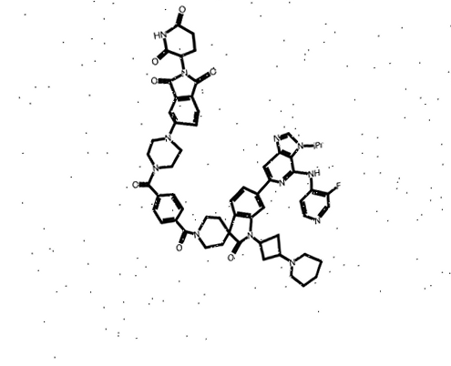 CC(C)n1cnc2cc(-c3ccc4c(c3)N(C3CC(N5CCCCC5)C3)C(=O)C43CCN(C(=O)c4ccc(C(=O)N5CCN(c6ccc7c(c6)C(=O)N(C6CCC(=O)NC6=O)C7=O)CC5)cc4)CC3)nc(Nc3ccncc3F)c21